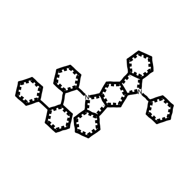 c1ccc(-c2ccccc2-c2ccccc2-n2c3ccccc3c3cc4c(cc32)c2ccccc2n4-c2ccccc2)cc1